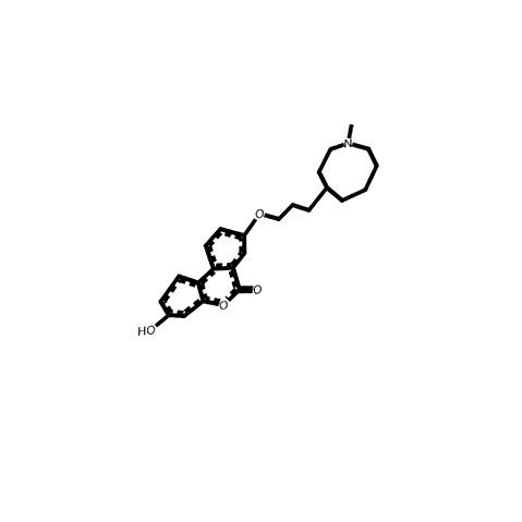 CN1CCCCC(CCCOc2ccc3c(c2)c(=O)oc2cc(O)ccc23)CC1